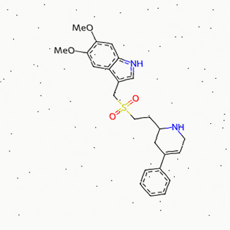 COc1cc2[nH]cc(CS(=O)(=O)CCC3CC(c4ccccc4)=CCN3)c2cc1OC